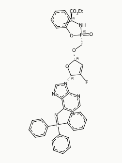 CCOC(=O)[C@H](C)N[P@](=O)(CO[C@@H]1C=C(F)[C@H](n2cnc3c(N=P(c4ccccc4)(c4ccccc4)c4ccccc4)ncnc32)O1)Oc1ccccc1